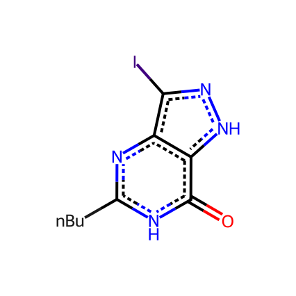 CCCCc1nc2c(I)n[nH]c2c(=O)[nH]1